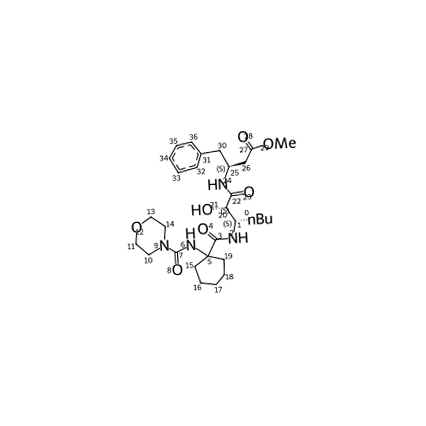 CCCC[C@H](NC(=O)C1(NC(=O)N2CCOCC2)CCCCC1)[C@H](O)C(=O)N[C@H](CC(=O)OC)Cc1ccccc1